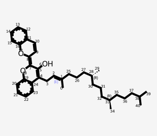 C/C(=C\CC1=C(O)C(=C2C=Cc3ccccc3O2)Oc2ccccc21)CCC[C@H](C)CCC[C@H](C)CCCC(C)C